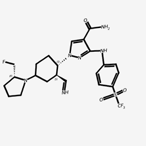 N=C[C@H]1CC(N2CCC[C@@H]2CF)CC[C@@H]1n1cc(C(N)=O)c(Nc2ccc(S(=O)(=O)C(F)(F)F)cc2)n1